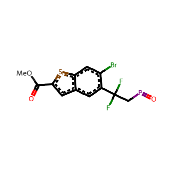 COC(=O)c1cc2cc(C(F)(F)CP=O)c(Br)cc2s1